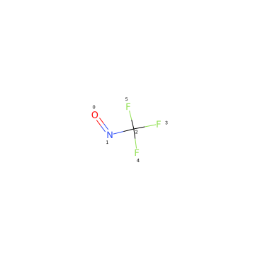 O=NC(F)(F)F